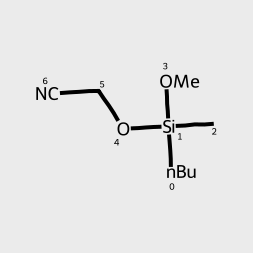 CCCC[Si](C)(OC)OCC#N